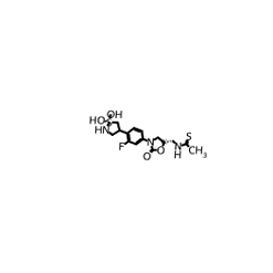 CC(=S)NC[C@H]1CN(c2ccc(C3CNS(O)(O)C3)c(F)c2)C(=O)O1